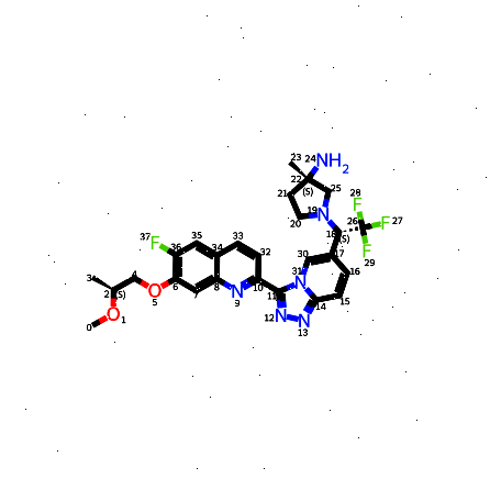 CO[C@@H](C)COc1cc2nc(-c3nnc4ccc([C@H](N5CC[C@](C)(N)C5)C(F)(F)F)cn34)ccc2cc1F